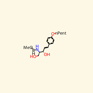 CCCCCOc1ccc(/C=C/[C@H](O)[C@@H](CO)NBOC)cc1